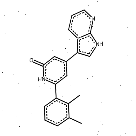 Cc1cccc(-c2cc(-c3c[nH]c4ncccc34)cc(=O)[nH]2)c1C